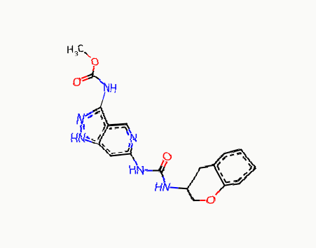 COC(=O)Nc1n[nH]c2cc(NC(=O)NC3COc4ccccc4C3)ncc12